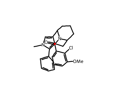 COc1cccc(C(=O)N2C3CCCC2c2cn(C)c(-c4ccccc4)c2C3)c1Cl